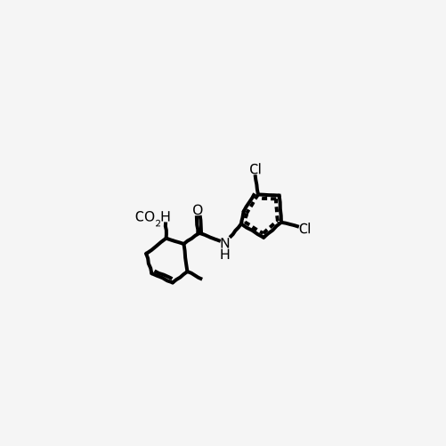 CC1C=CCC(C(=O)O)C1C(=O)Nc1cc(Cl)cc(Cl)c1